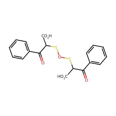 O=C(O)C(SOSC(C(=O)O)C(=O)c1ccccc1)C(=O)c1ccccc1